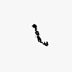 Cc1cccc(CCCN2CCN(C(=O)Oc3ccc(CCc4cccc(C)n4)cc3)CC2)n1